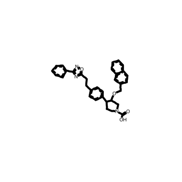 O=C(O)N1CCC(c2ccc(CCc3nc(-c4ccccc4)no3)cc2)C(OCc2ccc3ccccc3c2)C1